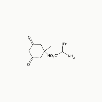 CC(C)C(N)C(=O)O.CC1(C)CC(=O)CC(=O)C1